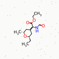 CCOC(=O)/C(NC=O)=C1/C[C@@H](CC)O[C@H](C)C1